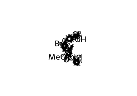 C=CN(c1cc(O[C@H](C)c2ccccc2Cl)c(C(=O)OC)s1)c1cc(OC2CCN(C3=C(O)C(C)(C)O3)CC2)c(Br)cc1C